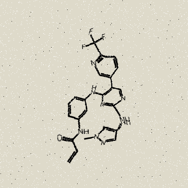 C=CC(=O)Nc1cccc(Nc2nc(Nc3cnn(C)c3)ncc2-c2ccc(C(F)(F)F)nc2)c1